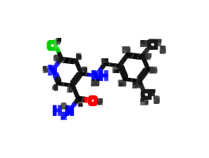 NC(=O)c1cnc(Cl)cc1NCc1cc(C(F)(F)F)cc(C(F)(F)F)c1